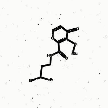 CCCCOc1c(C(=O)NCCC(CC)CCC)occc1=O